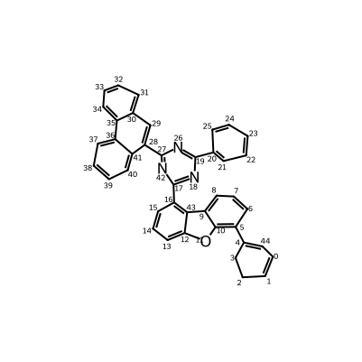 C1=CCCC(c2cccc3c2oc2cccc(-c4nc(-c5ccccc5)nc(-c5cc6ccccc6c6ccccc56)n4)c23)=C1